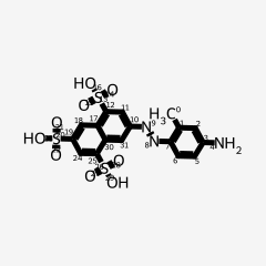 Cc1cc(N)ccc1N=Nc1cc(S(=O)(=O)O)c2cc(S(=O)(=O)O)cc(S(=O)(=O)O)c2c1